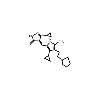 Cc1[nH]c(C=C2C(=O)NN=C2C2CC2)c(C2CC2)c1CCN1CCCC1